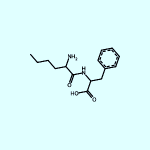 CCCCC(N)C(=O)NC(Cc1ccccc1)C(=O)O